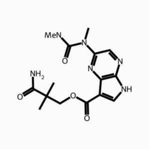 CNC(=O)N(C)c1cnc2[nH]cc(C(=O)OCC(C)(C)C(N)=O)c2n1